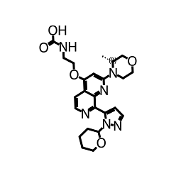 C[C@@H]1COCCN1c1cc(OCCNC(=O)O)c2ccnc(-c3ccnn3C3CCCCO3)c2n1